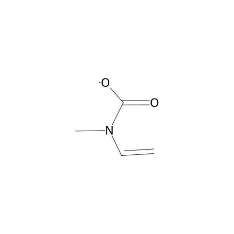 C=CN(C)C([O])=O